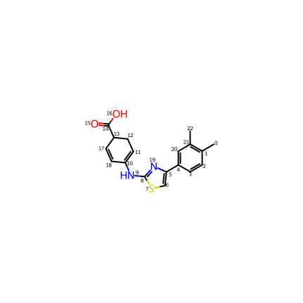 Cc1ccc(-c2csc(NC3=CCC(C(=O)O)C=C3)n2)cc1C